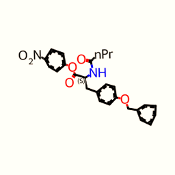 CCCC(=O)N[C@@H](Cc1ccc(OCc2ccccc2)cc1)C(=O)Oc1ccc([N+](=O)[O-])cc1